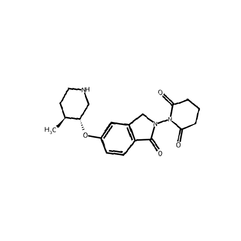 C[C@H]1CCNC[C@@H]1Oc1ccc2c(c1)CN(N1C(=O)CCCC1=O)C2=O